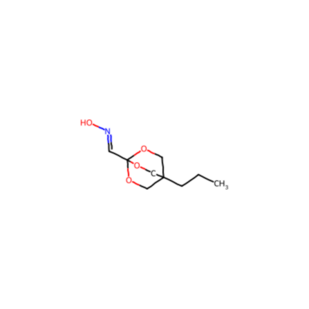 CCCC12COC(/C=N/O)(OC1)OC2